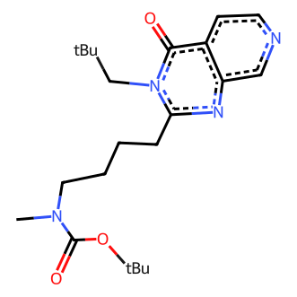 CN(CCCCc1nc2cnccc2c(=O)n1CC(C)(C)C)C(=O)OC(C)(C)C